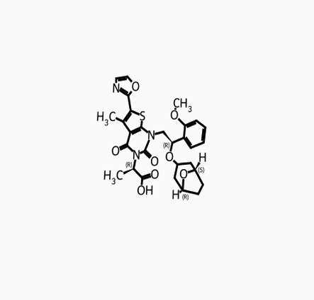 COc1ccccc1[C@H](Cn1c(=O)n([C@H](C)C(=O)O)c(=O)c2c(C)c(-c3ncco3)sc21)OC1C[C@H]2CC[C@@H](C1)O2